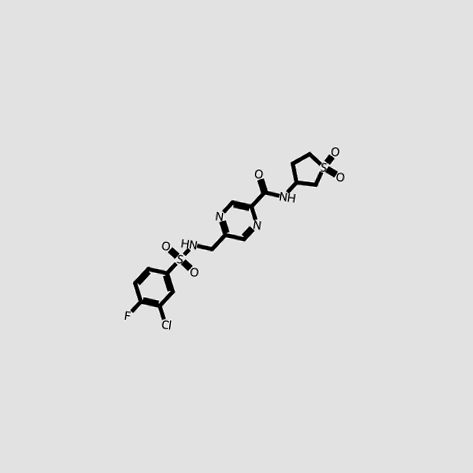 O=C(NC1CCS(=O)(=O)C1)c1cnc(CNS(=O)(=O)c2ccc(F)c(Cl)c2)cn1